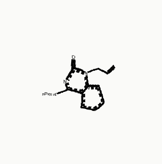 C=CCn1c(=O)nc(CCCCC)c2ccccc21